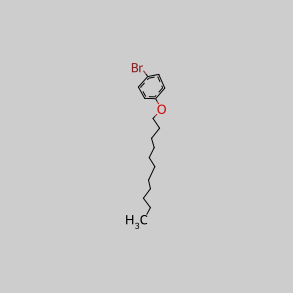 CCCCCCCCCCCOc1ccc(Br)cc1